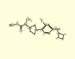 CN(C(=O)OC(C)(C)C)[C@@H]1CCN(c2ccc(NC3CCC3)cc2F)C1